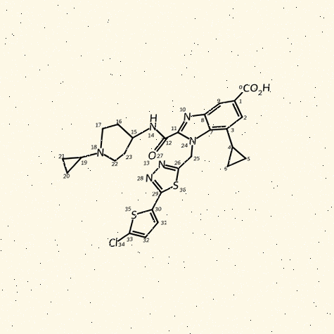 O=C(O)c1cc(C2CC2)c2c(c1)nc(C(=O)NC1CCN(C3CC3)CC1)n2Cc1nnc(-c2ccc(Cl)s2)s1